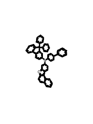 c1ccc(-c2ccc(N(c3ccc4c(c3)C(c3ccccc3)(c3ccccc3)c3ccccc3-4)c3ccc4c(c3)oc3ccc5ccccc5c34)cc2)cc1